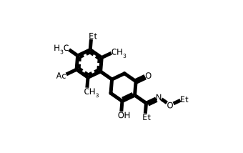 CCON=C(CC)C1=C(O)CC(c2c(C)c(CC)c(C)c(C(C)=O)c2C)CC1=O